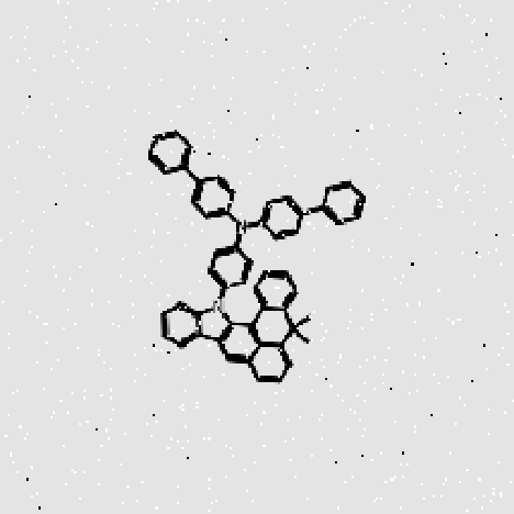 CC1(C)c2ccccc2-c2c3c1cccc3cc1c3ccccc3n(-c3ccc(N(c4ccc(-c5ccccc5)cc4)c4ccc(-c5ccccc5)cc4)cc3)c21